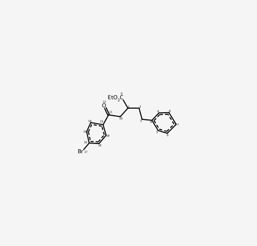 CCOC(=O)C(CCc1ccccc1)CC(=O)c1ccc(Br)cc1